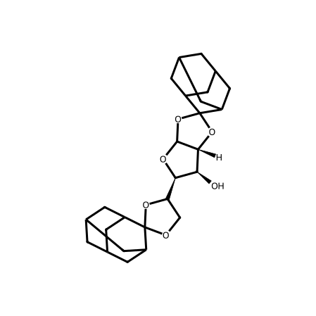 O[C@H]1[C@@H](C2COC3(O2)C2CC4CC(C2)CC3C4)OC2OC3(O[C@@H]21)C1CC2CC(C1)CC3C2